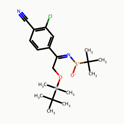 CC(C)(C)[S+]([O-])N=C(CO[Si](C)(C)C(C)(C)C)c1ccc(C#N)c(Cl)c1